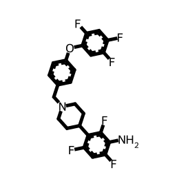 Nc1c(F)cc(F)c(C2CCN(Cc3ccc(Oc4cc(F)c(F)cc4F)cc3)CC2)c1F